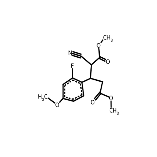 COC(=O)CC(c1ccc(OC)cc1F)C(C#N)C(=O)OC